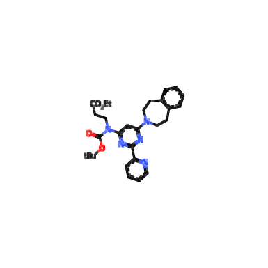 CCOC(=O)CCN(C(=O)OC(C)(C)C)c1cc(N2CCc3ccccc3CC2)nc(-c2ccccn2)n1